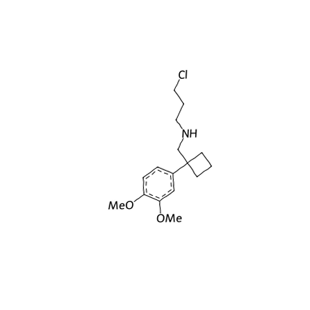 COc1ccc(C2(CNCCCCl)CCC2)cc1OC